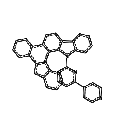 c1cc(-c2ccncc2)nc(-n2c3ccccc3c3ccc4c5ccccc5c5cc6ccccc6n5c4c32)c1